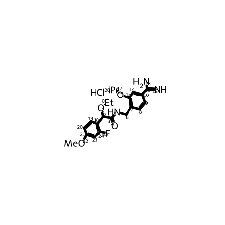 CCOC(C(=O)NCc1ccc(C(=N)N)cc1OC(C)C)c1ccc(OC)cc1F.Cl